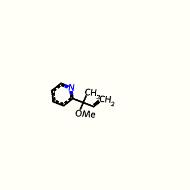 C=CC(C)(OC)c1ccccn1